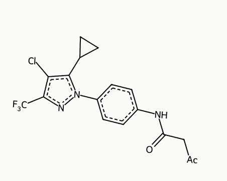 CC(=O)CC(=O)Nc1ccc(-n2nc(C(F)(F)F)c(Cl)c2C2CC2)cc1